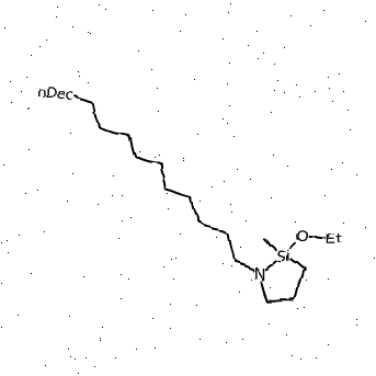 CCCCCCCCCCCCCCCCCCCCN1CCC[Si]1(C)OCC